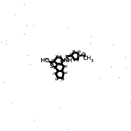 COC1CCC(CNC2CCC3C(O)SC4C5CCCCC5CC2C34)CC1